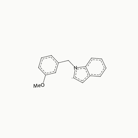 COc1cccc(Cn2[c]cc3ccccc32)c1